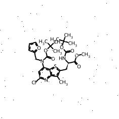 COC(=O)[C@@H](Cc1sc2c(N(Cc3ccco3)C(=O)OC(C)(C)C)cc(Cl)nc2c1C)NC(=O)OC(C)(C)C